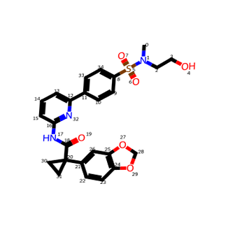 CN(CCO)S(=O)(=O)c1ccc(-c2cccc(NC(=O)C3(c4ccc5c(c4)OCO5)CC3)n2)cc1